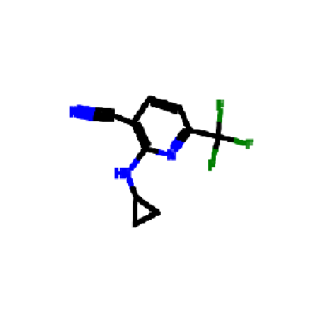 N#Cc1ccc(C(F)(F)F)nc1NC1CC1